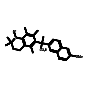 COc1ccc2cc(C(C)(C(=O)O)c3c(C)c(C)c4c(c3C)CCC(C)(C)N4C(C)=O)ccc2c1